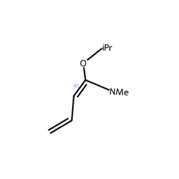 C=C/C=C(\NC)OC(C)C